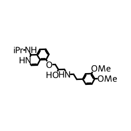 COc1ccc(CCNCC(O)COc2cccc3c2C=CNC3NC(C)C)cc1OC